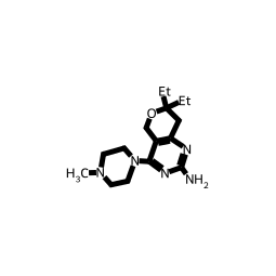 CCC1(CC)Cc2nc(N)nc(N3CCN(C)CC3)c2CO1